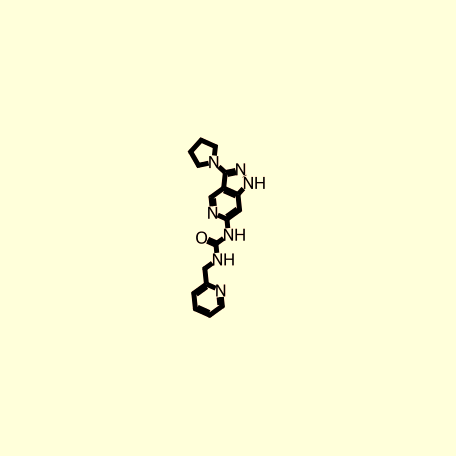 O=C(NCc1ccccn1)Nc1cc2[nH]nc(N3CCCC3)c2cn1